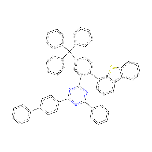 c1ccc(-c2ccc(-c3nc(-c4ccccc4)nc(-c4cc5c(cc4-c4cccc6c4sc4ccccc46)-c4ccccc4C5(c4ccccc4)c4ccccc4)n3)cc2)cc1